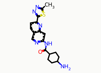 Cc1nnc(-c2ccc3cnc(NC(=O)C4CCC(N)CC4)cc3n2)s1